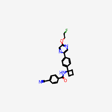 N#Cc1ccc(C(=O)NC2(c3ccc(-c4cnc(OCCF)cn4)cc3)CCC2)cc1